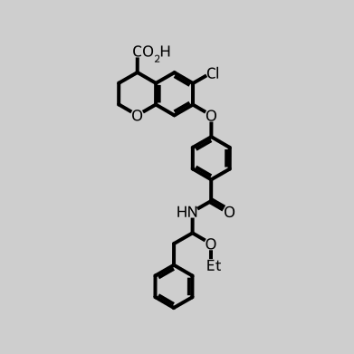 CCOC(Cc1ccccc1)NC(=O)c1ccc(Oc2cc3c(cc2Cl)C(C(=O)O)CCO3)cc1